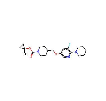 CC1(OC(=O)N2CCC(COc3cnc(N4CCCCC4)c(F)c3)CC2)CC1